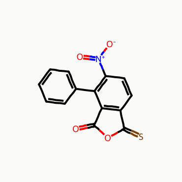 O=C1OC(=S)c2ccc([N+](=O)[O-])c(-c3ccccc3)c21